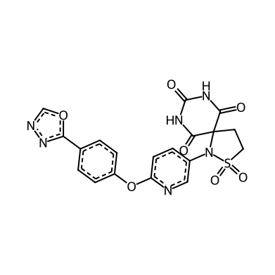 O=C1NC(=O)C2(CCS(=O)(=O)N2c2ccc(Oc3ccc(-c4nnco4)cc3)nc2)C(=O)N1